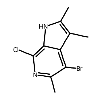 Cc1nc(Cl)c2[nH]c(C)c(C)c2c1Br